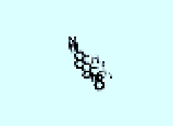 C[C@]12CCC(n3ccnc3)C=C1CCC1C2CC[C@]2(C)C(n3ccc4ccccc43)=CCC12